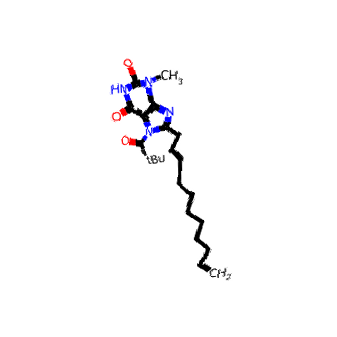 C=CCCCCCCCCCc1nc2c(c(=O)[nH]c(=O)n2C)n1C(=O)C(C)(C)C